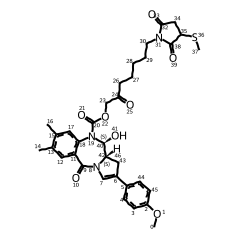 COc1ccc(C2=CN3C(=O)c4cc(C)c(C)cc4N(C(=O)OCC(=O)CCCCCN4C(=O)CC(SC)C4=O)[C@@H](O)[C@@H]3C2)cc1